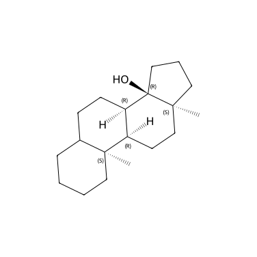 C[C@@]12CCC[C@@]1(O)[C@@H]1CCC3CCCC[C@]3(C)[C@@H]1CC2